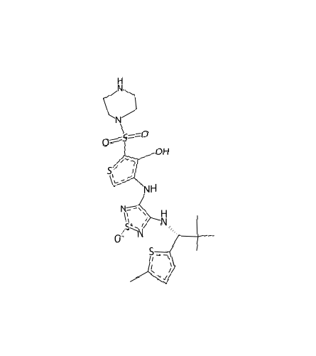 Cc1ccc([C@H](Nc2n[s+]([O-])nc2Nc2csc(S(=O)(=O)N3CCNCC3)c2O)C(C)(C)C)s1